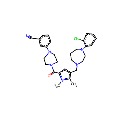 Cc1c(CN2CCCN(c3ccccc3Cl)CC2)cc(C(=O)N2CCN(c3cccc(C#N)c3)CC2)n1C